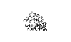 CCCC[C@](C#N)(NC(C)=O)[C@@H]1CC[C@H]1CN1C[C@@]2(CCCc3cc(Cl)ccc32)COc2ccc(C(=O)NS(=O)(=O)C(C)C)cc21